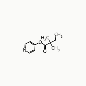 CCC(C)(C)C(=O)Oc1ccncc1